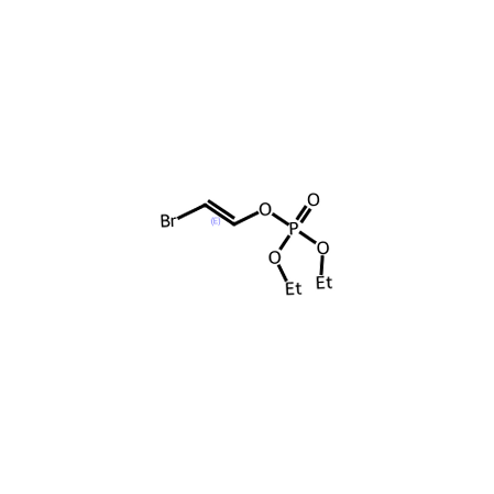 CCOP(=O)(O/C=C/Br)OCC